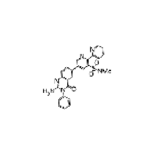 CNS(=O)(=O)c1cc(-c2ccc3nc(N)n(-c4ccccc4)c(=O)c3c2)cnc1-c1ccccn1